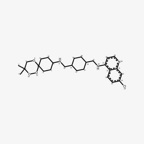 CC1(C)COC2(CCC(NCC3CCC(CNc4ccnc5cc(Cl)ccc45)CC3)CC2)OO1